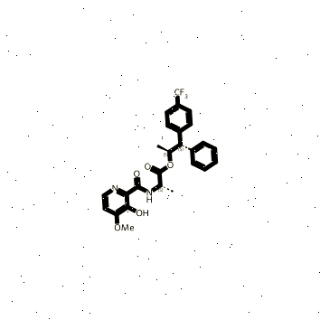 COc1ccnc(C(=O)N[C@@H](C)C(=O)O[C@@H](C)[C@@H](c2ccccc2)c2ccc(C(F)(F)F)cc2)c1O